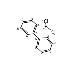 Cl[P]Cl.c1ccc(-c2ccccc2)cc1